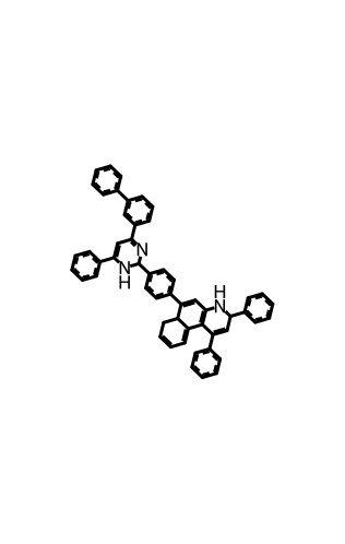 C1=CCC2C(=C1)C1=C(C=C2c2ccc(C3N=C(c4cccc(-c5ccccc5)c4)C=C(c4ccccc4)N3)cc2)NC(c2ccccc2)C=C1c1ccccc1